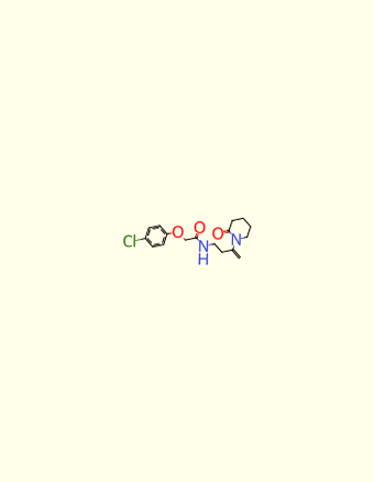 C=C(CCNC(=O)COc1ccc(Cl)cc1)N1CCCCC1=O